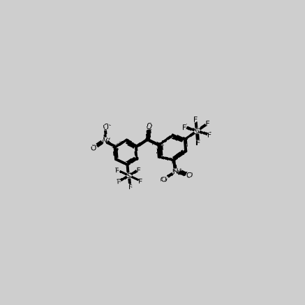 O=C(c1cc([N+](=O)[O-])cc(S(F)(F)(F)(F)F)c1)c1cc([N+](=O)[O-])cc(S(F)(F)(F)(F)F)c1